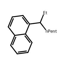 [CH2]CC(CCCCC)c1cccc2ccccc12